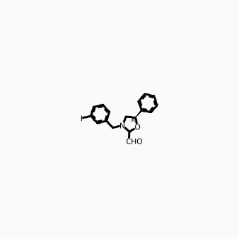 O=CC1O[C@H](c2ccccc2)CN1Cc1cccc(I)c1